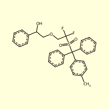 Cc1ccc(C(c2ccccc2)(c2ccccc2)S(=O)(=O)C(F)(F)COCC(O)c2ccccc2)cc1